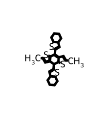 CC1=CC2=C(C3=CC4CCCCC4S3)c3sc(C)cc3C(C3=CC4CCCCC4S3)C2S1